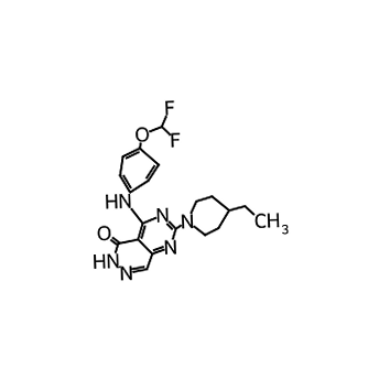 CCC1CCN(c2nc(Nc3ccc(OC(F)F)cc3)c3c(=O)[nH]ncc3n2)CC1